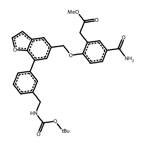 COC(=O)Cc1cc(C(N)=O)ccc1OCc1cc(-c2cccc(CNC(=O)OC(C)(C)C)c2)c2occc2c1